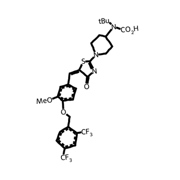 COc1cc(/C=C2/SC(N3CCC(N(C(=O)O)C(C)(C)C)CC3)=NC2=O)ccc1OCc1ccc(C(F)(F)F)cc1C(F)(F)F